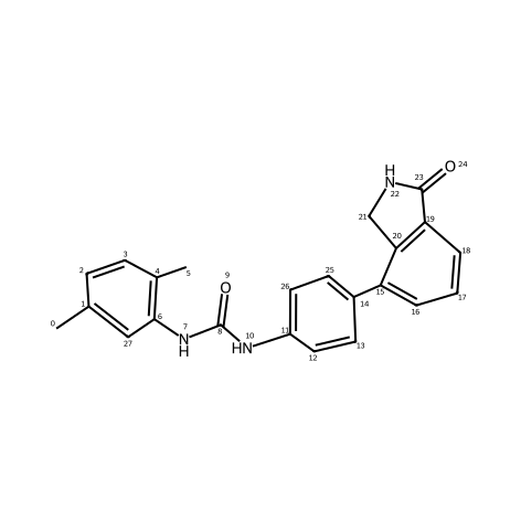 Cc1ccc(C)c(NC(=O)Nc2ccc(-c3cccc4c3CNC4=O)cc2)c1